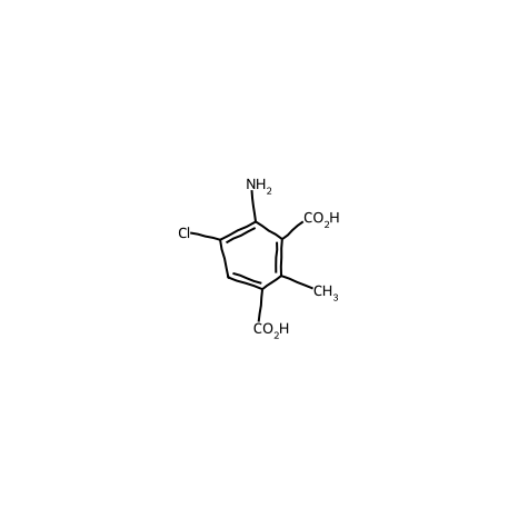 Cc1c(C(=O)O)cc(Cl)c(N)c1C(=O)O